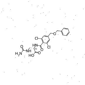 NC(=O)NC[C@H](NC(=O)c1c(Cl)cc(COCc2ccccc2)cc1Cl)C(=O)O